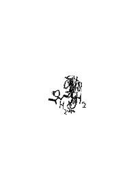 C=C(C)C(=O)CCC[Si]([Si](C)(C)O[SiH2]C)([Si](C)(C)O[SiH2]C)[Si](C)(C)O[SiH2]C